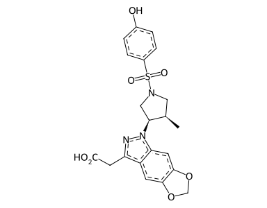 C[C@@H]1CN(S(=O)(=O)c2ccc(O)cc2)C[C@@H]1n1nc(CC(=O)O)c2cc3c(cc21)OCO3